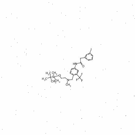 CN(CCO[Si](C)(C)C(C)(C)C)Cc1ccc(NC(=O)Cc2cccc(I)c2)cc1C(F)(F)F